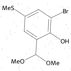 COC(OC)c1cc(SC)cc(Br)c1O